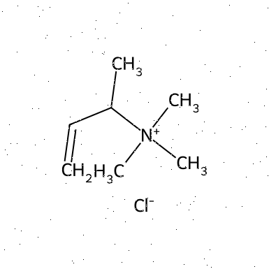 C=CC(C)[N+](C)(C)C.[Cl-]